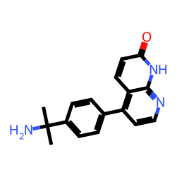 CC(C)(N)c1ccc(-c2ccnc3[nH]c(=O)ccc23)cc1